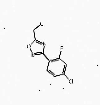 Fc1cc(Cl)ccc1-c1noc(CCl)n1